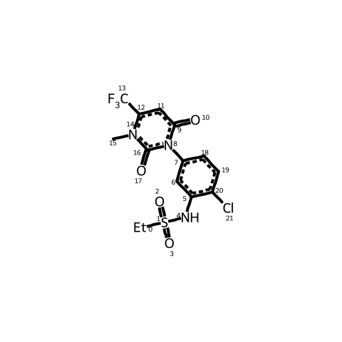 CCS(=O)(=O)Nc1cc(-n2c(=O)cc(C(F)(F)F)n(C)c2=O)ccc1Cl